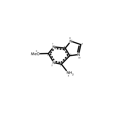 COc1nc(N)c2c(n1)[N]C=N2